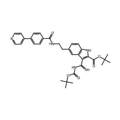 CC(C)(C)OC(=O)NC(=N)c1c(C(=O)OC(C)(C)C)[nH]c2ccc(CCNC(=O)c3ccc(-c4ccncc4)cc3)cc12